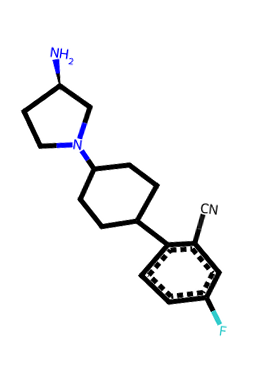 N#Cc1cc(F)ccc1C1CCC(N2CC[C@@H](N)C2)CC1